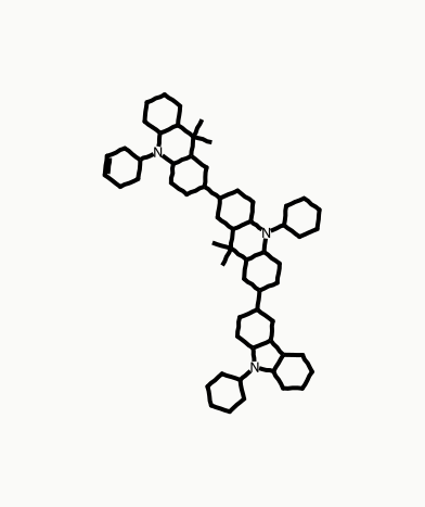 CC1(C)C2CCCCC2N(C2CC=CCC2)C2CCC(C3CCC4C(C3)C(C)(C)C3CC(C5CCC6C(C5)C5CCCCC5N6C5CCCCC5)CCC3N4C3CCCCC3)CC21